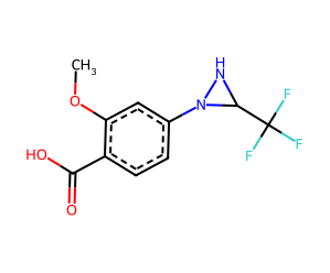 COc1cc(N2NC2C(F)(F)F)ccc1C(=O)O